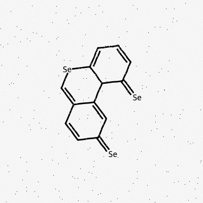 [Se]=C1C=CC2=C[Se]C3=CC=CC(=[Se])C3C2=C1